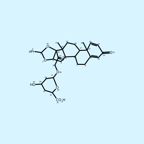 CCCC1OC2CC3C4CCC5=CC(=O)C=CC5(C)C4CCC3(C)C2(C(=O)COC2CC(O)CC(C(=O)O)O2)O1